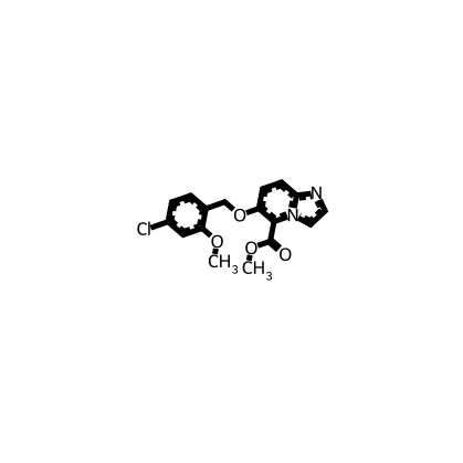 COC(=O)c1c(OCc2ccc(Cl)cc2OC)ccc2nccn12